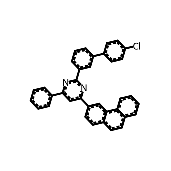 Clc1ccc(-c2cccc(-c3nc(-c4ccccc4)cc(-c4ccc5ccc6ccccc6c5c4)n3)c2)cc1